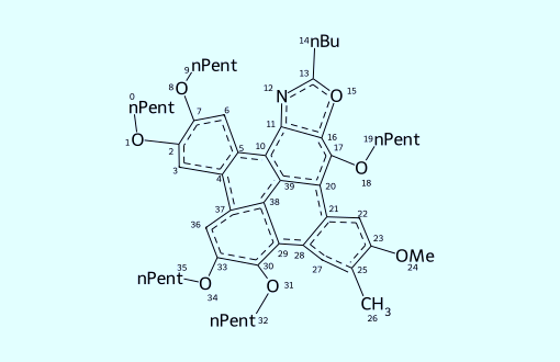 CCCCCOc1cc2c(cc1OCCCCC)c1c3nc(CCCC)oc3c(OCCCCC)c3c4cc(OC)c(C)cc4c4c(OCCCCC)c(OCCCCC)cc2c4c31